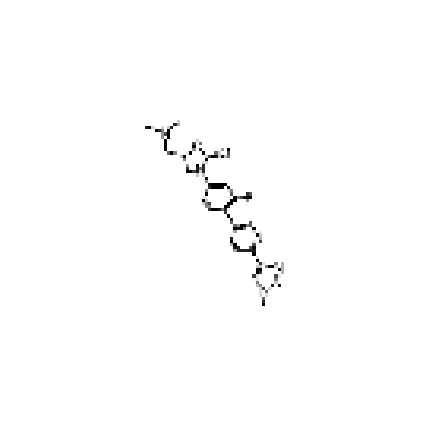 CN(C)CC1CN(c2ccc(-c3ccc(-c4nnn(C)n4)nc3)c(F)c2)C(=O)O1